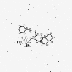 CC(C)(C)[Si](C)(C)OC[C@H](O)[C@@H](COCc1ccccc1)Cc1cccc2ccccc12